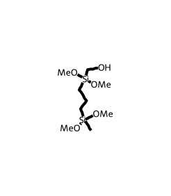 CO[Si](C)(CCC[Si](CO)(OC)OC)OC